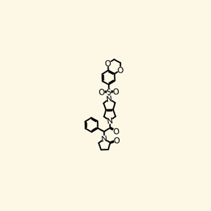 O=C(C(c1ccccc1)N1CCCC1=O)N1CC2=C(C1)CN(S(=O)(=O)c1ccc3c(c1)OCCO3)C2